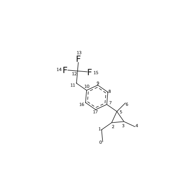 CCC1C(C)C1(C)c1ccc(CC(F)(F)F)cc1